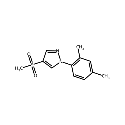 Cc1ccc(-n2cc(S(C)(=O)=O)cn2)c(C)c1